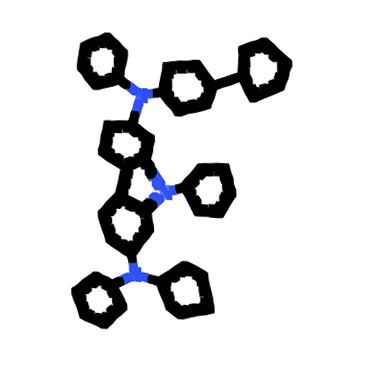 c1ccc(-c2ccc(N(c3ccccc3)c3ccc4c5ccc(N(c6ccccc6)c6ccccc6)cc5n(-c5ccccc5)c4c3)cc2)cc1